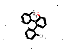 Cc1ccccc1-c1cccc(O)c1-c1ccccc1C